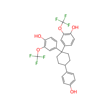 Oc1ccc(C2CCC(c3ccc(O)c(OC(F)(F)F)c3)(c3ccc(O)c(OC(F)(F)F)c3)CC2)cc1